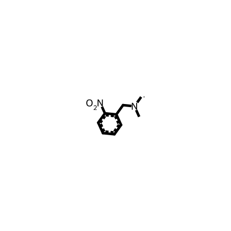 [CH2]N(C)Cc1ccccc1[N+](=O)[O-]